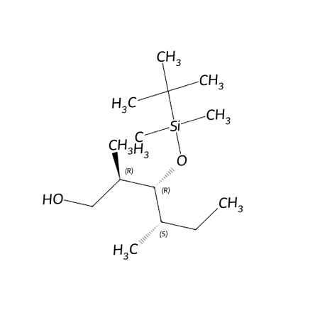 CC[C@H](C)[C@@H](O[Si](C)(C)C(C)(C)C)[C@H](C)CO